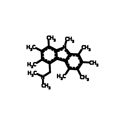 Cc1c(C)c(C)c2c(c1C)c1c(CN(C)C)c(C)c(C)c(C)c1n2C